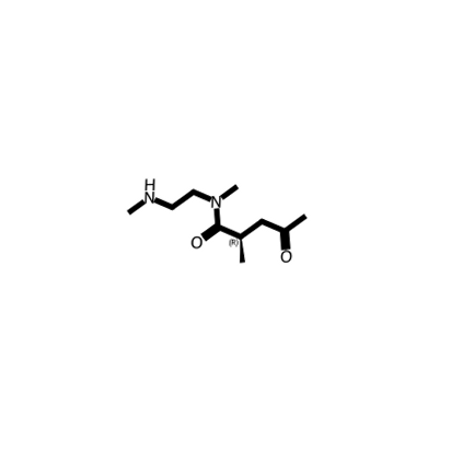 CNCCN(C)C(=O)[C@H](C)CC(C)=O